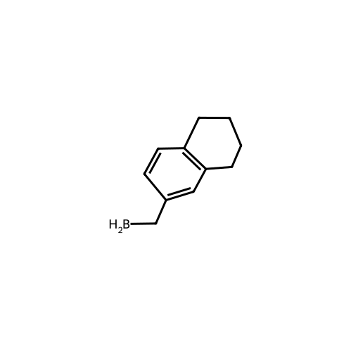 BCc1ccc2c(c1)CCCC2